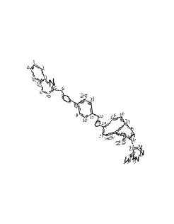 c1ccc2nc(COc3ccc(COc4ccc5sc(-c6nnn[nH]6)cc5c4)cc3)ccc2c1